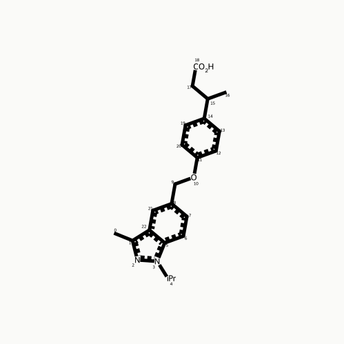 Cc1nn(C(C)C)c2ccc(COc3ccc(C(C)CC(=O)O)cc3)cc12